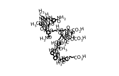 CCn1nc(C)cc1C(=O)Nc1nc2cc(C(N)=O)cc(OC)c2n1C/C=C/Cn1c(NC(=O)c2cc(C)nn2CC)nc2cc(C(N)=O)cc(OCCCNC(=O)OCCNC(=O)[C@H](CC(=O)O)NC(=O)[C@H](CCC(=O)O)NC(=O)[C@H](CC(=O)O)NC(=O)[C@H](CC(=O)O)NC(=O)CCCN3CCc4c(nc(C(=O)Nc5cccc(-c6cccc(NC(=O)c7nc8c(n7C)CCN(CCCC(=O)O)C8)c6Cl)c5Cl)n4C)C3)c21